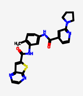 Cc1ccc(NC(=O)c2ccnc(N3CCCC3)c2)cc1NC(=O)c1cc2nccnc2s1